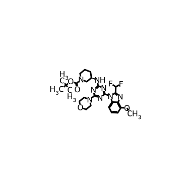 COc1cccc2c1nc(C(F)F)n2-c1nc(N[C@@H]2CCCN(C(=O)OC(C)(C)C)C2)nc(N2CCOCC2)n1